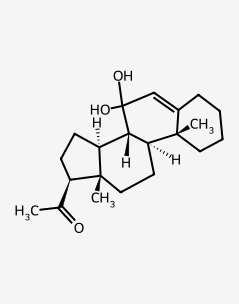 CC(=O)[C@H]1CC[C@H]2[C@H]3[C@H](CC[C@]12C)[C@@]1(C)CCCCC1=CC3(O)O